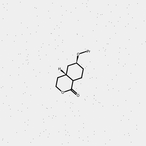 CC(C)O[C@H]1CCC2C(=O)OCC[C@@H]2C1